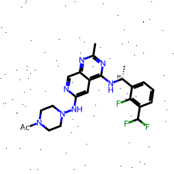 CC(=O)N1CCN(Nc2cc3c(N[C@H](C)c4cccc(C(F)F)c4F)nc(C)nc3cn2)CC1